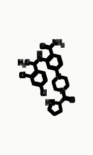 CC(Nc1cc(N2CCN(C(=O)[C@H]3CCCN3)CC2)ccc1C(N)=O)c1ccc(Cl)cc1Cl